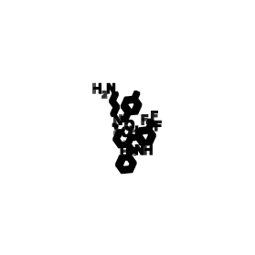 Cc1ccc(C(=O)N(CCCCN)C[C@H]2CC[C@@H]3[C@H](O2)c2cc(C(F)(F)F)ccc2N[C@H]3C2C=CC=CC2)cc1